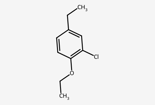 CCOc1ccc(CC)cc1Cl